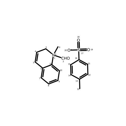 C[N+]1(C=O)CC=Cc2ccccc21.Cc1ccc(S(=O)(=O)[O-])cc1